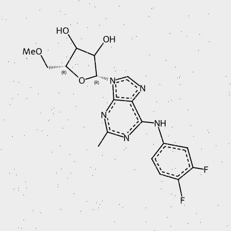 COC[C@H]1O[C@@H](n2cnc3c(Nc4ccc(F)c(F)c4)nc(C)nc32)C(O)C1O